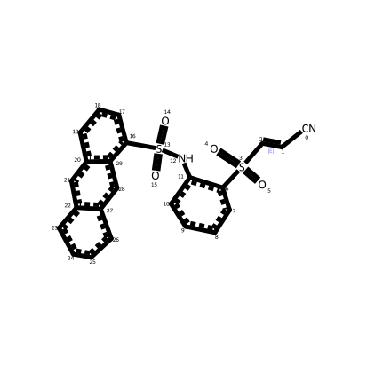 N#C/C=C/S(=O)(=O)c1ccccc1NS(=O)(=O)c1cccc2cc3ccccc3cc12